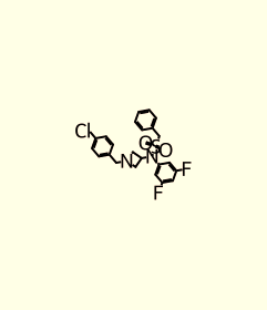 O=S(=O)(Cc1ccccc1)N(c1cc(F)cc(F)c1)C1CN(Cc2ccc(Cl)cc2)C1